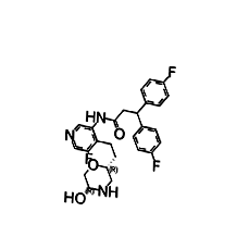 O=C(CC(c1ccc(F)cc1)c1ccc(F)cc1)Nc1cncc(F)c1CC[C@@H]1CN[C@H](O)CO1